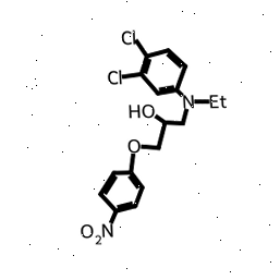 CCN(CC(O)COc1ccc([N+](=O)[O-])cc1)c1ccc(Cl)c(Cl)c1